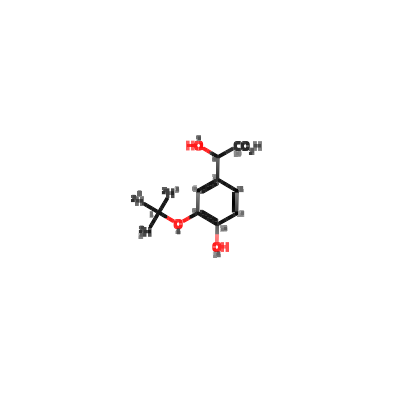 [2H]C([2H])([2H])Oc1cc(C(O)C(=O)O)ccc1O